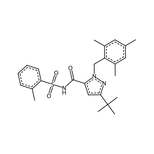 Cc1cc(C)c(Cn2nc(C(C)(C)C)cc2C(=O)NS(=O)(=O)c2ccccc2C)c(C)c1